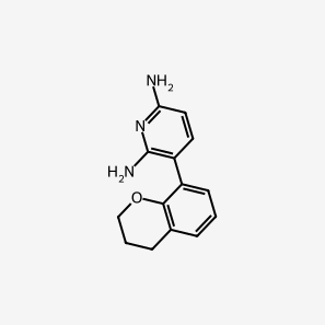 Nc1ccc(-c2cccc3c2OCCC3)c(N)n1